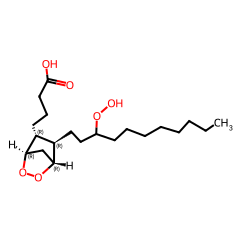 CCCCCCCCC(CC[C@@H]1[C@@H](CCCC(=O)O)[C@H]2C[C@H]1OO2)OO